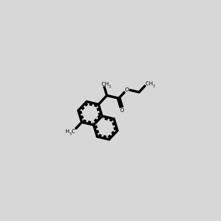 CCOC(=O)C(C)c1ccc(C)c2ccccc12